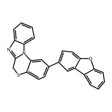 c1ccc2c(c1)nc1n2-c2cc(-c3ccc4oc5ccccc5c4c3)ccc2SC1